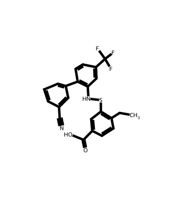 CCc1ccc(C(=O)O)cc1SNc1cc(C(F)(F)F)ccc1-c1cccc(C#N)c1